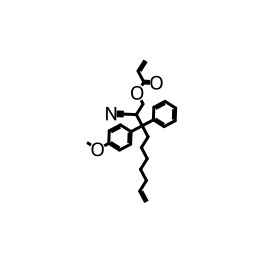 C=CCCCCCC(c1ccccc1)(c1ccc(OC)cc1)C(C#N)COC(=O)C=C